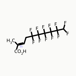 C/C(=C\CC(F)(F)C(F)(F)C(F)(F)C(F)(F)C(F)(F)C(F)F)C(=O)O